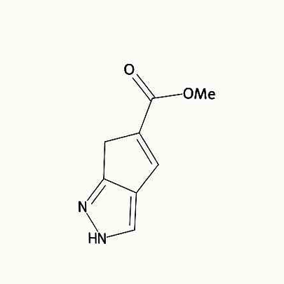 COC(=O)C1=Cc2c[nH]nc2C1